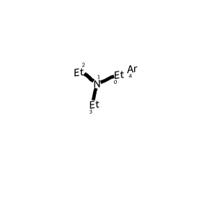 CCN(CC)CC.[Ar]